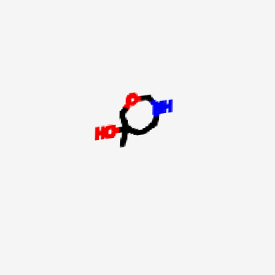 CC1(O)CCNCOC1